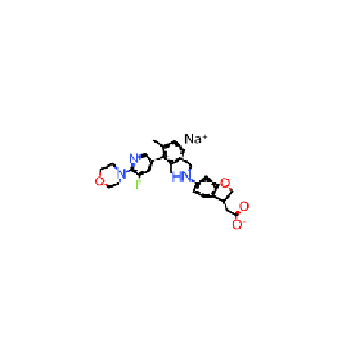 Cc1ccc(CNc2ccc3c(c2)OC[C@H]3CC(=O)[O-])c(C)c1-c1cnc(N2CCOCC2)c(F)c1.[Na+]